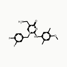 COc1cc(C)c(Nc2nc(=O)c(CN)cn2Cc2ccc(F)c(F)c2)cc1C